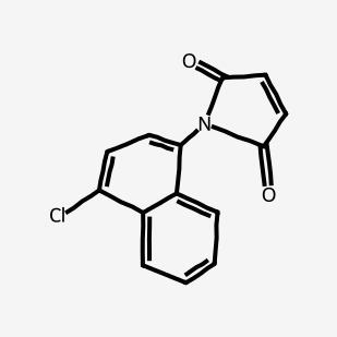 O=C1C=CC(=O)N1c1ccc(Cl)c2ccccc12